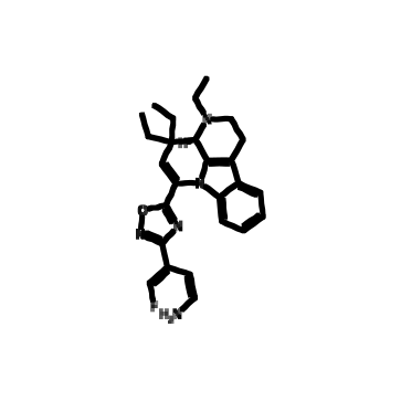 CCN1CCc2c3n(c4ccccc24)C(c2nc(C(/C=C\N)=C/F)no2)=CC(CC)(CC)[C@@H]31